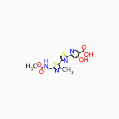 COC(=O)NCc1nc(C)c(-c2csc(-c3cc(O)c(C(=O)O)cn3)n2)s1